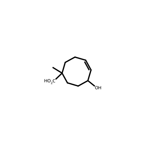 CC1(C(=O)O)CC/C=C\C(O)CC1